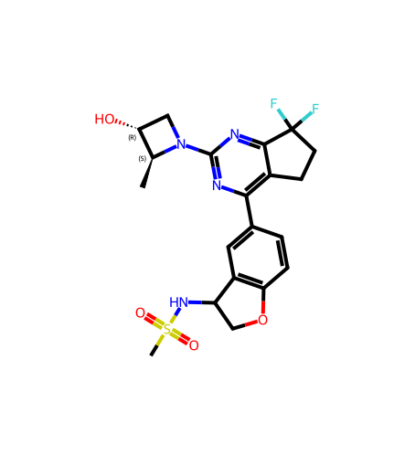 C[C@H]1[C@H](O)CN1c1nc(-c2ccc3c(c2)C(NS(C)(=O)=O)CO3)c2c(n1)C(F)(F)CC2